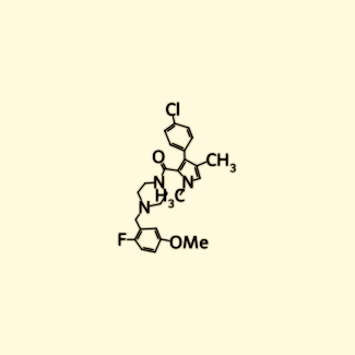 COc1ccc(F)c(CN2CCN(C(=O)c3c(-c4ccc(Cl)cc4)c(C)cn3C)CC2)c1